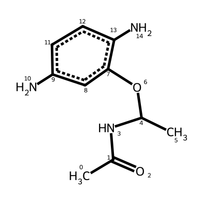 CC(=O)NC(C)Oc1cc(N)ccc1N